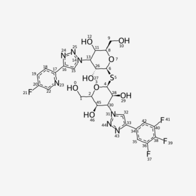 OCC1O[C@@H](S[C@@H]2O[C@H](CO)C(O)C(n3cc(-c4ccc(F)cn4)nn3)[C@H]2O)[C@@H](O)C(n2cc(-c3cc(F)c(F)c(F)c3)nn2)[C@H]1O